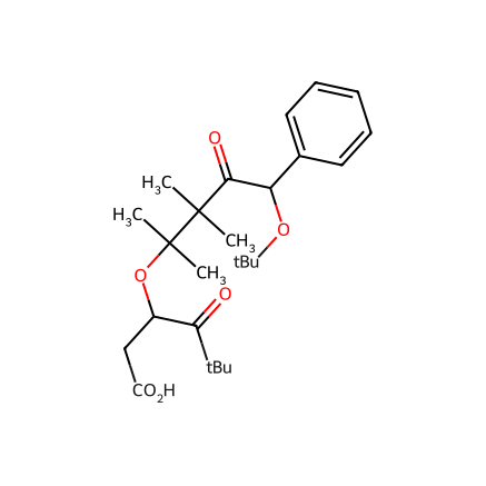 CC(C)(C)OC(C(=O)C(C)(C)C(C)(C)OC(CC(=O)O)C(=O)C(C)(C)C)c1ccccc1